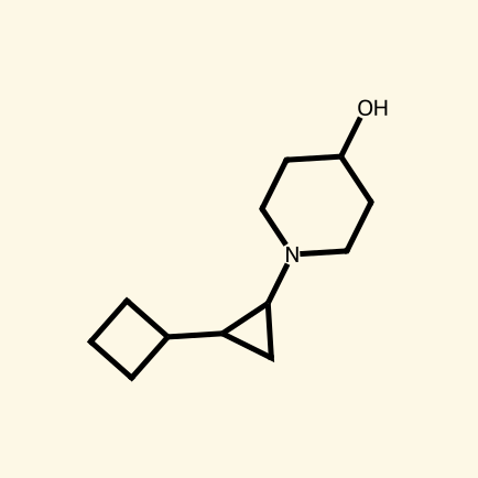 OC1CCN(C2CC2C2CCC2)CC1